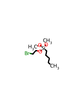 CCCCC[Si](OC)(OC)OCCBr